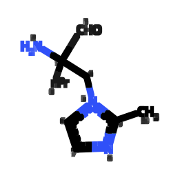 CCCC(N)(C=O)Cn1c[c]nc1C